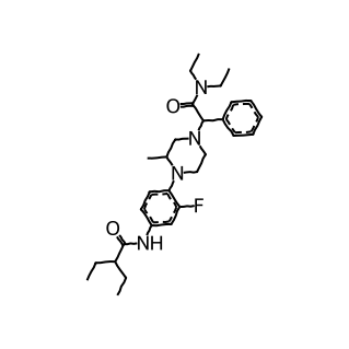 CCC(CC)C(=O)Nc1ccc(N2CCN(C(C(=O)N(CC)CC)c3ccccc3)CC2C)c(F)c1